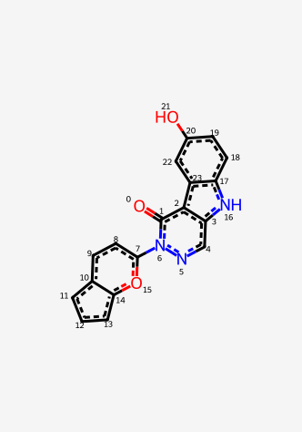 O=c1c2c(cnn1-c1ccc3cccc-3o1)[nH]c1ccc(O)cc12